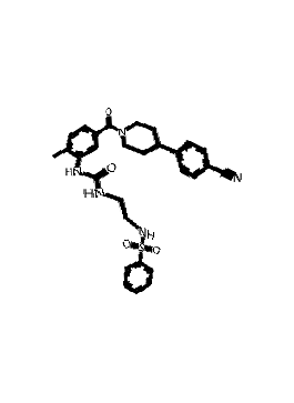 Cc1ccc(C(=O)N2CCC(c3ccc(C#N)cc3)CC2)cc1NC(=O)NCCNS(=O)(=O)c1ccccc1